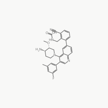 CO[C@@H]1CN(c2c(-c3cc(C)cc(F)c3)cnc3ccc(-c4cccc(C#N)c4CNC(=O)O)cc23)CC[C@H]1N